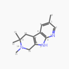 Cc1cnc2[nH]c3c(c2c1)CC(C)(C)N(C)C3